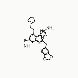 N.Nc1nc2c3c(CCN4CCCC4)cc(F)cc3nc(Cc3ccc4c(c3)OCO4)n2n1